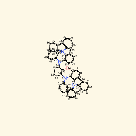 c1ccc(N2c3c(ccc4c5cccc6c7ccccc7n(c34)c65)B3c4ccc5c6cccc7c8ccccc8n(c5c4N(c4ccccc4)C4CCCC2C34)c76)cc1